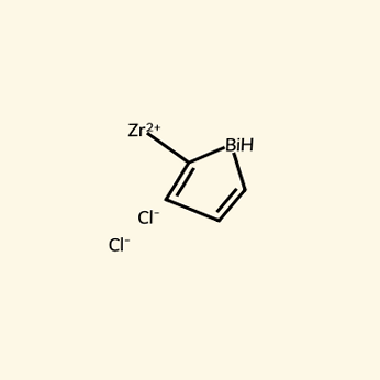 [Cl-].[Cl-].[Zr+2][C]1=CC=[CH][BiH]1